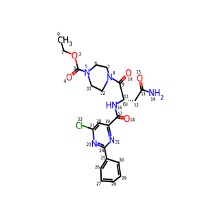 CCOC(=O)N1CCN(C(=O)[C@H](CC(N)=O)NC(=O)c2cc(Cl)nc(-c3ccccc3)n2)CC1